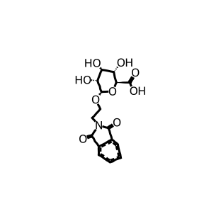 O=C(O)[C@H]1O[C@@H](OCCN2C(=O)c3ccccc3C2=O)[C@H](O)[C@@H](O)[C@@H]1O